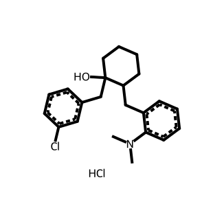 CN(C)c1ccccc1CC1CCCCC1(O)Cc1cccc(Cl)c1.Cl